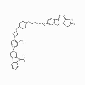 O=C1CCC(N2Cc3cc(OCCCCCN4CCC(OC5CN(c6ccc(-c7ccc8c9cnccc9n(C(F)F)c8c7)cc6C(F)(F)F)C5)CC4)ccc3C2=O)C(=O)N1